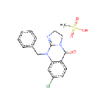 CS(=O)(=O)O.O=C1c2ccc(Cl)cc2N(Cc2ccccc2)C2=NCCN12